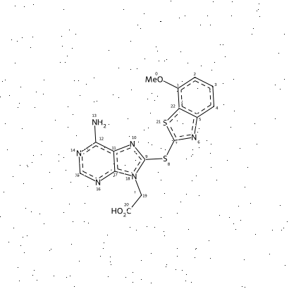 COc1cccc2nc(Sc3nc4c(N)ncnc4n3CC(=O)O)sc12